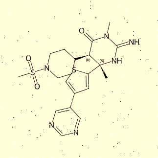 CN1C(=N)N[C@](C)(c2cc(-c3cncnc3)cs2)[C@@H](C2CCN(S(C)(=O)=O)CC2)C1=O